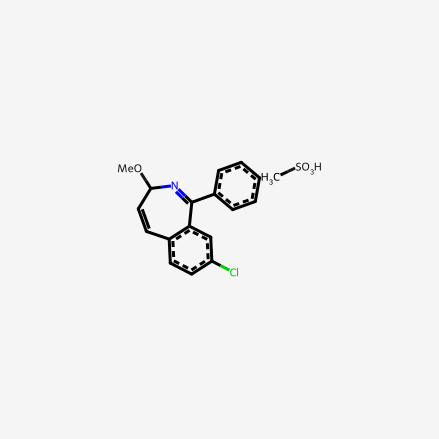 COC1C=Cc2ccc(Cl)cc2C(c2ccccc2)=N1.CS(=O)(=O)O